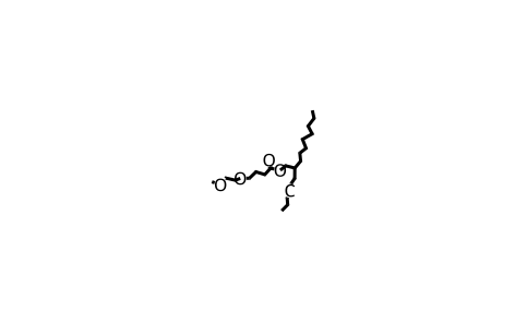 CCCCCCCCC(CCCCCC)COC(=O)CCCOCCOC